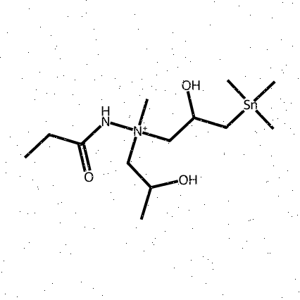 CCC(=O)N[N+](C)(CC(C)O)CC(O)[CH2][Sn]([CH3])([CH3])[CH3]